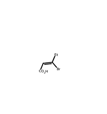 CCC(Br)=CC(=O)O